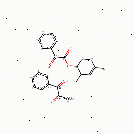 CC1=CC(C)C(OC(=O)C(=O)c2ccccc2)CC1.COC(=O)C(=O)c1ccccc1